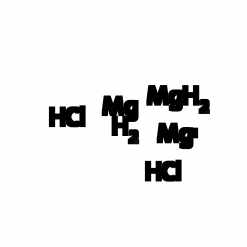 Cl.Cl.[MgH2].[MgH2].[Mg]